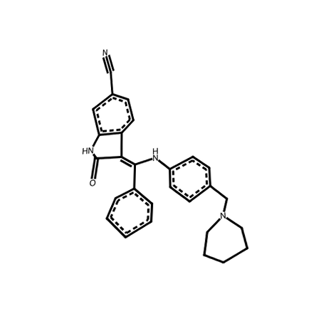 N#Cc1ccc2c(c1)NC(=O)C2=C(Nc1ccc(CN2CCCCC2)cc1)c1ccccc1